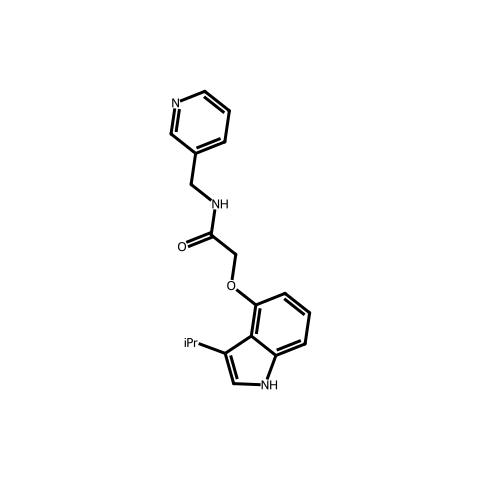 CC(C)c1c[nH]c2cccc(OCC(=O)NCc3cccnc3)c12